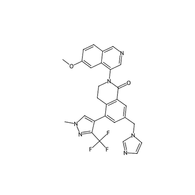 COc1ccc2cncc(N3CCc4c(cc(Cn5ccnc5)cc4-c4cn(C)nc4C(F)(F)F)C3=O)c2c1